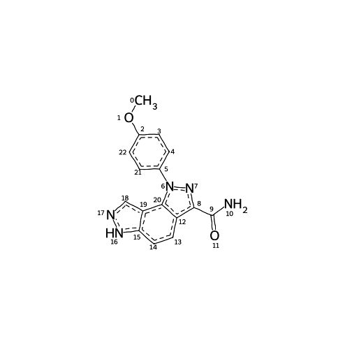 COc1ccc(-n2nc(C(N)=O)c3ccc4[nH]ncc4c32)cc1